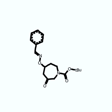 CC(C)(C)OC(=O)N1CCC(ON=Cc2ccccc2)CC(=O)C1